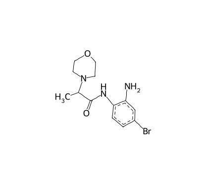 CC(C(=O)Nc1ccc(Br)cc1N)N1CCOCC1